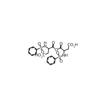 O=C(O)CC(NS(=O)(=O)c1ccccc1)C(=O)OC(=O)C(CC(=O)O)NS(=O)(=O)c1ccccc1